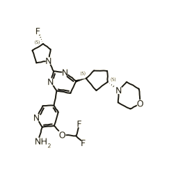 Nc1ncc(-c2cc([C@H]3CC[C@H](N4CCOCC4)C3)nc(N3CC[C@H](F)C3)n2)cc1OC(F)F